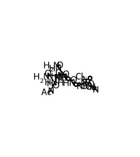 CC(=O)N(C)CCCC(=O)NCCN[C@@H](CCCNC(N)=O)C(=O)N[C@@H](CCCNC(N)=O)C(=O)Nc1ccc(C(=O)Nc2ccc3[nH]c(C(=O)N4C[C@@H](CCl)c5c4cc(OC(=O)N4CCN(C)CC4)c4ccccc54)cc3c2)cc1